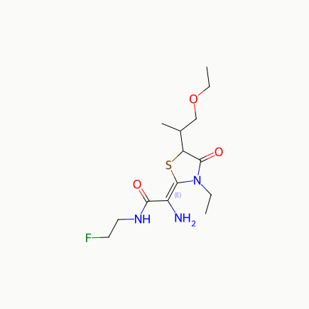 CCOCC(C)C1S/C(=C(/N)C(=O)NCCF)N(CC)C1=O